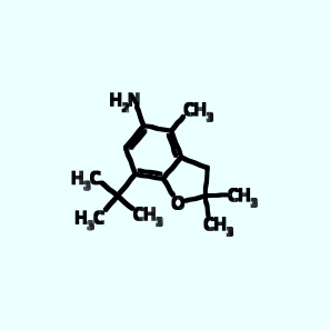 Cc1c(N)cc(C(C)(C)C)c2c1CC(C)(C)O2